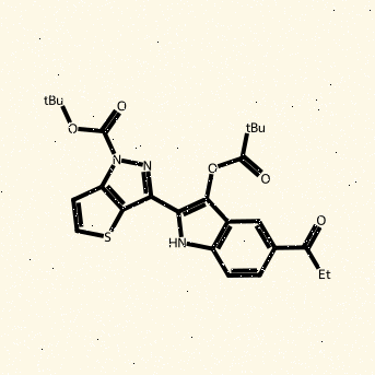 CCC(=O)c1ccc2[nH]c(-c3nn(C(=O)OC(C)(C)C)c4ccsc34)c(OC(=O)C(C)(C)C)c2c1